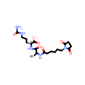 BC(=O)[C@H](CCCNC(N)=O)NC(=O)C(NC(=O)CCCCCN1C(=O)CCC1=O)C(C)C